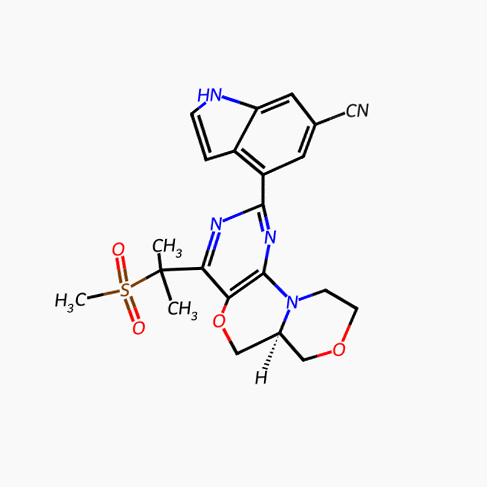 CC(C)(c1nc(-c2cc(C#N)cc3[nH]ccc23)nc2c1OC[C@@H]1COCCN21)S(C)(=O)=O